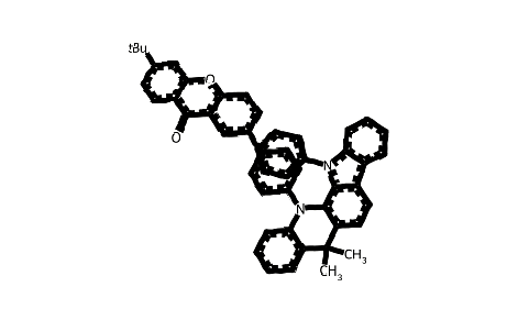 CC(C)(C)c1ccc2c(=O)c3cc(-c4ccc(N5c6ccccc6C(C)(C)c6ccc7c8ccccc8n(-c8ccccc8)c7c65)cc4)ccc3oc2c1